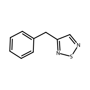 c1ccc(Cc2cnsn2)cc1